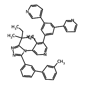 CCC(C)(C)c1nnc(-c2cccc(-c3cccc(C)c3)c2)n1-c1cncc(-c2cc(-c3cccnc3)cc(-c3cccnc3)c2)c1C